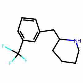 FC(F)(F)c1cccc(CC2CCCCN2)c1